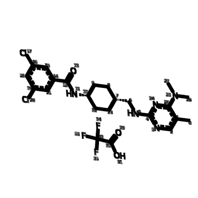 Cc1cnc(NC[C@H]2CC[C@@H](NC(=O)c3cc(Cl)cc(Cl)c3)CC2)nc1N(C)C.O=C(O)C(F)(F)F